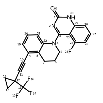 O=c1nc(N2CCCc3c(C#CC4(C(F)(F)F)CC4)cccc32)c2c(F)cccc2[nH]1